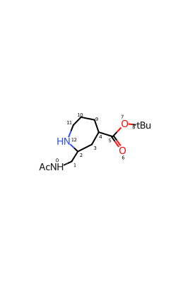 CC(=O)NCC1CC(C(=O)OC(C)(C)C)CCCN1